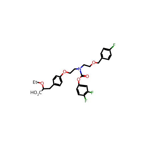 CCOC(Cc1ccc(OCCN(CCOCc2ccc(F)cc2)C(=O)Oc2ccc(F)c(F)c2)cc1)C(=O)O